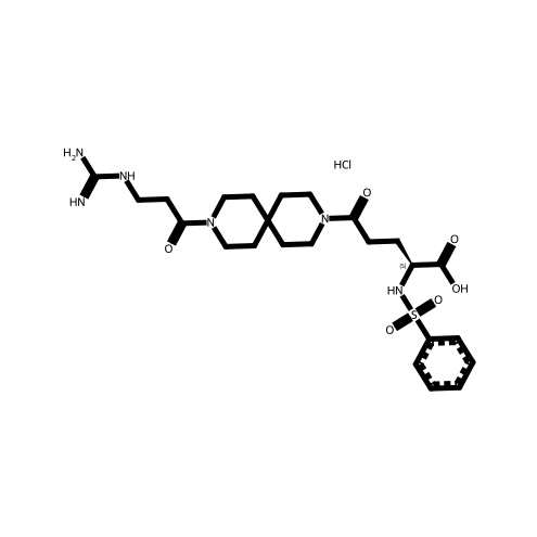 Cl.N=C(N)NCCC(=O)N1CCC2(CC1)CCN(C(=O)CC[C@H](NS(=O)(=O)c1ccccc1)C(=O)O)CC2